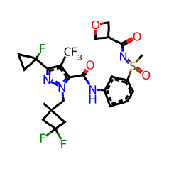 CC1(Cn2nc(C3(F)CC3)c(C(F)(F)F)c2C(=O)Nc2cccc(S(C)(=O)=NC(=O)C3COC3)c2)CC(F)(F)C1